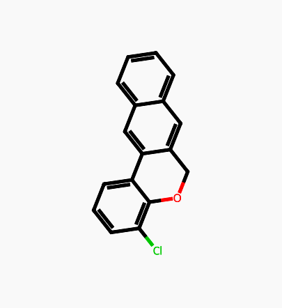 Clc1cccc2c1OCc1cc3ccccc3cc1-2